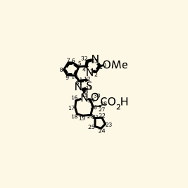 COc1cnc(-c2ccccc2-c2csc(N3CCCC[C@H](C4CCCC4)[C@H](CC(=O)O)C3=O)n2)cn1